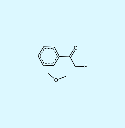 COC.O=C(CF)c1ccccc1